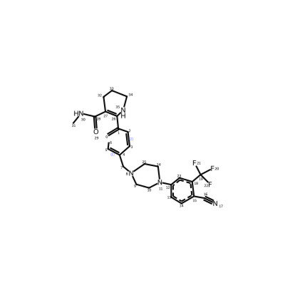 C=C(/C=C\C(=C/C)CN1CCN(c2ccc(C#N)c(C(F)(F)F)c2)CC1)C1=C(C(=O)NC)CCCN1